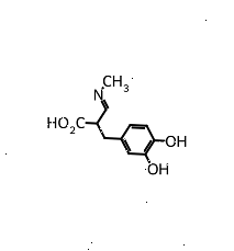 C/N=C/C(Cc1ccc(O)c(O)c1)C(=O)O